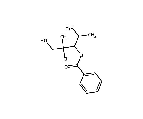 CC(C)C(OC(=O)c1ccccc1)C(C)(C)CO